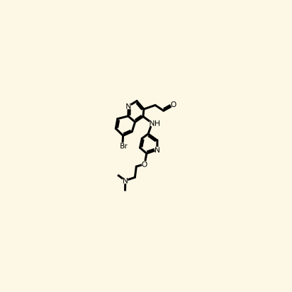 CN(C)CCOc1ccc(Nc2c(CC=O)cnc3ccc(Br)cc23)cn1